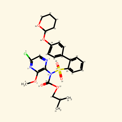 COc1nc(Cl)cnc1N(C(=O)OCC(C)C)S(=O)(=O)c1ccccc1-c1ccc(OC2CCCCO2)cc1